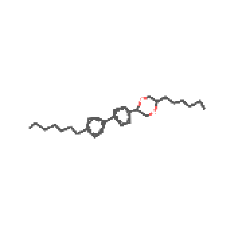 CCCCCCCc1ccc(-c2ccc(C3COC(CCCCCC)CO3)cc2)cc1